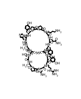 C[C@@H]1NN[C@@H](Cc2cnc[nH]2)C(=O)N[C@@H](Cc2ccc(O)cc2)C(=O)N2CCC[C@H]2C(=O)N2CCC[C@@H]2C(=O)N[C@@H](CCCCN)C(=O)N[C@@H](CCC(N)=O)C(=O)N[C@@H](Cc2ccc(O)cc2)C(=O)N[C@H]2CSSC[C@H](NC1=O)C(=O)N[C@@H](CO)C(=O)N[C@@H](C)C(=O)N1CCC[C@@H]1C(=O)N[C@@H](CCN)C(=O)N[C@@H](CCCNC(=N)N)C(=O)C(=O)[C@H](Cc1ccc(O)cc1)NC2=O